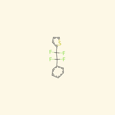 FC(F)(c1ccccc1)C(F)(F)c1cccs1